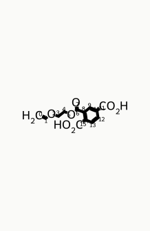 C=COCCOC(=O)c1cc(C(=O)O)ccc1C(=O)O